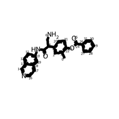 Cc1cc(C(CN)C(=O)Nc2ccc3cnccc3c2)ccc1OC(=O)c1ccccc1